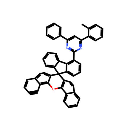 Cc1ccccc1-c1cc(-c2ccccc2)nc(-c2cccc3c2-c2ccccc2C32c3ccc4ccc#cc4c3Oc3c2ccc2ccccc32)n1